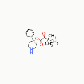 CC(C)(C)C(=O)C(=O)OC1(c2ccccc2)CCNCC1